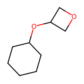 C1CCC(OC2COC2)CC1